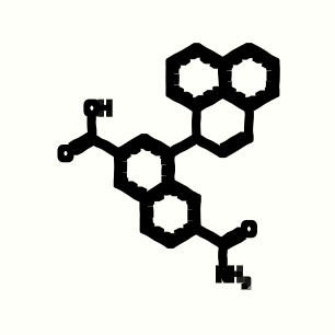 NC(=O)c1ccc2cc(C(=O)O)cc(C3C=Cc4cccc5cccc3c45)c2c1